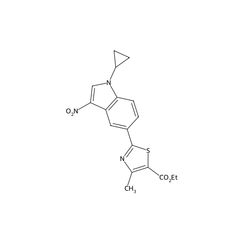 CCOC(=O)c1sc(-c2ccc3c(c2)c([N+](=O)[O-])cn3C2CC2)nc1C